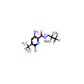 COC(C)(CNC(=O)c1nc(Br)c(C(C)(C)F)cc1N)C(F)(I)I